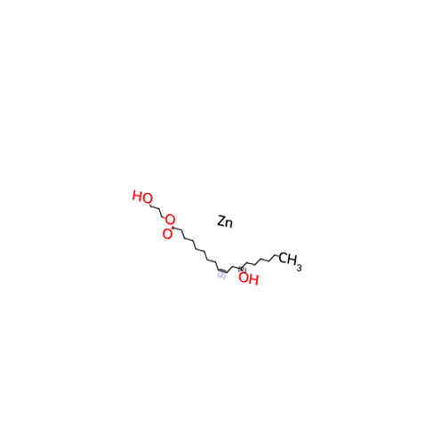 CCCCCC[C@@H](O)C/C=C\CCCCCCCC(=O)OCCCO.[Zn]